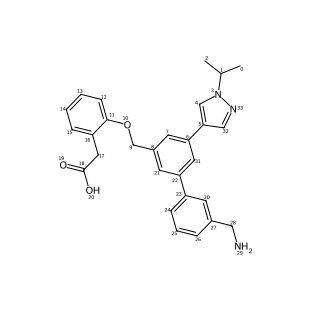 CC(C)n1cc(-c2cc(COc3ccccc3CC(=O)O)cc(-c3cccc(CN)c3)c2)cn1